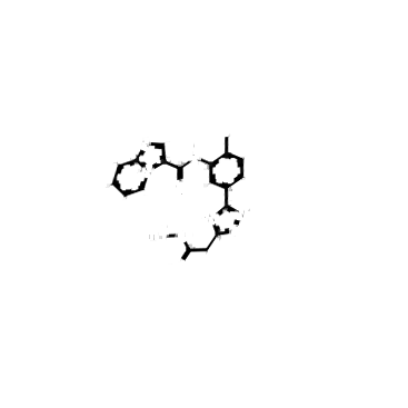 Cc1ccc(-c2noc(CC(=O)OC(C)(C)C)n2)cc1NC(=O)c1cnc2ccccn12